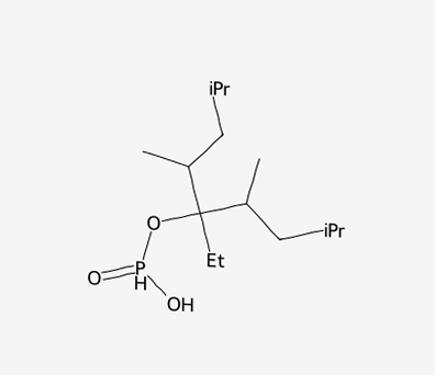 CCC(O[PH](=O)O)(C(C)CC(C)C)C(C)CC(C)C